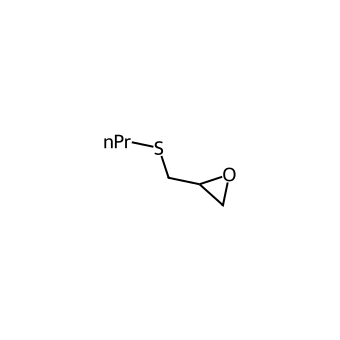 CCCSCC1CO1